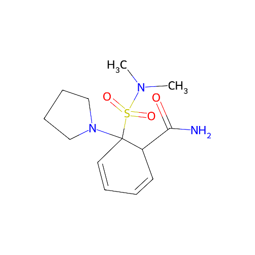 CN(C)S(=O)(=O)C1(N2CCCC2)C=CC=CC1C(N)=O